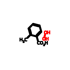 Cc1ccccc1C(=O)O.OO